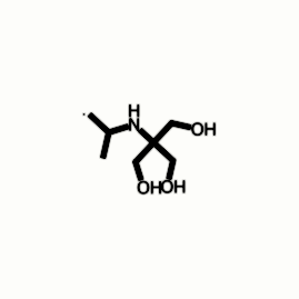 [CH2]C(C)NC(CO)(CO)CO